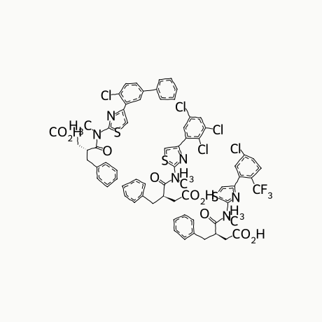 CN(C(=O)[C@@H](CC(=O)O)Cc1ccccc1)c1nc(-c2cc(-c3ccccc3)ccc2Cl)cs1.CN(C(=O)[C@@H](CC(=O)O)Cc1ccccc1)c1nc(-c2cc(Cl)cc(Cl)c2Cl)cs1.CN(C(=O)[C@@H](CC(=O)O)Cc1ccccc1)c1nc(-c2cc(Cl)ccc2C(F)(F)F)cs1